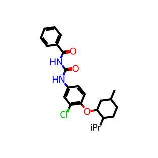 CC1CCC(C(C)C)C(Oc2ccc(NC(=O)NC(=O)c3ccccc3)cc2Cl)C1